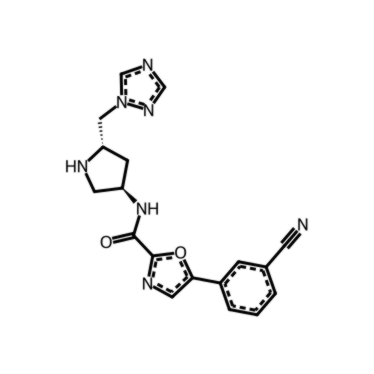 N#Cc1cccc(-c2cnc(C(=O)N[C@H]3CN[C@H](Cn4cncn4)C3)o2)c1